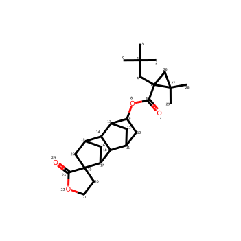 CC(C)(C)CC1(C(=O)OC2CC3CC2C2C4CC(C32)C2(CCOC2=O)C4)CC1(C)C